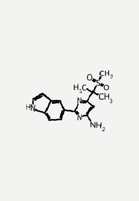 CC(C)(c1cc(N)nc(-c2ccc3[nH]ccc3c2)n1)S(C)(=O)=O